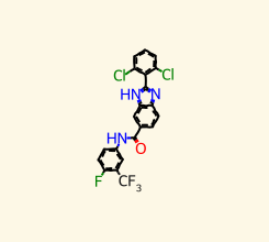 O=C(Nc1ccc(F)c(C(F)(F)F)c1)c1ccc2nc(-c3c(Cl)cccc3Cl)[nH]c2c1